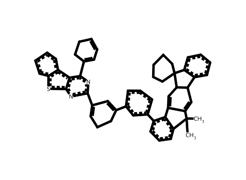 CC1(C)C2=CC3c4ccccc4C4(CCCCC4)C3C=C2c2c(-c3cccc(C4=CC(c5nc(C6=CC=CCC6)c6c(n5)sc5ccccc56)=CCC4)c3)cccc21